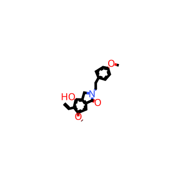 C=Cc1c(OC)cc2c(c1O)CN(CCc1ccc(OC)cc1)C2=O